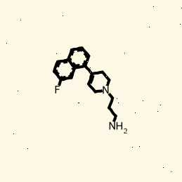 NCCCN1CC=C(c2cccc3ccc(F)cc23)CC1